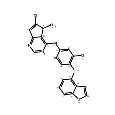 Cn1c(Cl)cc2ncnc(Nc3ccc(Oc4cccc5sccc45)c(Cl)c3)c21